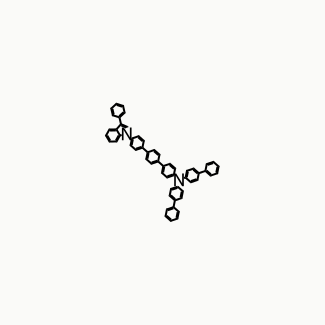 c1ccc(-c2ccc(N(c3ccc(-c4ccccc4)cc3)c3ccc(-c4ccc(-c5ccc(-n6cc(-c7ccccc7)c7ccccc76)cc5)cc4)cc3)cc2)cc1